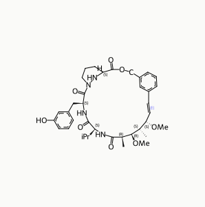 CO[C@@H]1[C@@H](C)[C@@H](OC)/C=C/c2cccc(c2)COC(=O)[C@@H]2CCCN(N2)C(=O)[C@H](Cc2cccc(O)c2)NC(=O)[C@H](C(C)C)NC(=O)[C@@H]1C